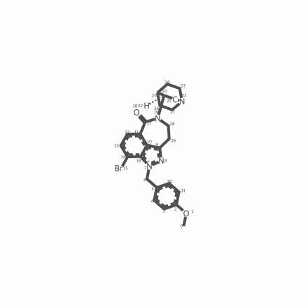 COc1ccc(Cn2nc3c4c(ccc(Br)c42)C(=O)N([C@@H]2CN4CCC2CC4)CC3)cc1